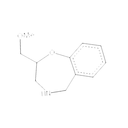 COCC1CNCc2ccccc2O1